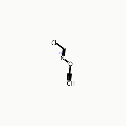 C#CO/N=[C]/Cl